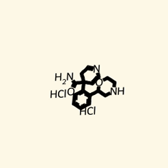 Cl.Cl.NC(=O)C1(c2ccccc2C2CNCCO2)C=CN=CC1